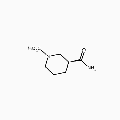 NC(=O)[C@H]1CCCN(C(=O)O)C1